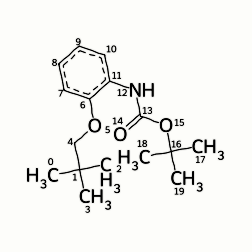 CC(C)(C)COc1ccccc1NC(=O)OC(C)(C)C